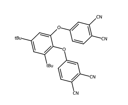 CC(C)(C)c1cc(Oc2ccc(C#N)c(C#N)c2)c(Oc2ccc(C#N)c(C#N)c2)c(C(C)(C)C)c1